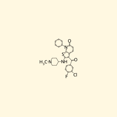 CN1CCC(Nc2sc3c(ccc(=O)n3-c3ccccc3)c2C(=O)c2ccc(F)c(Cl)c2)CC1